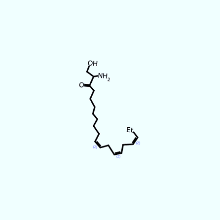 CC/C=C\C/C=C\C/C=C\CCCCCCCC(=O)C(N)CO